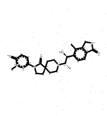 Cc1c([C@H](O)[C@H](C)N2CCC3(CCN(c4ccc(=O)n(C)n4)C3=O)CC2)ccc2c1COC2=O